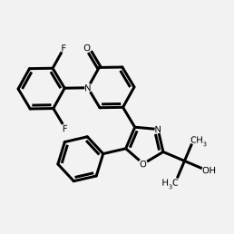 CC(C)(O)c1nc(-c2ccc(=O)n(-c3c(F)cccc3F)c2)c(-c2ccccc2)o1